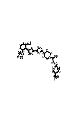 CS(=O)(=O)Oc1cccc(Cl)c1C1CC(c2csc(C3CCN(C(=O)COc4ncc(C(F)(F)F)cn4)CC3)n2)=NO1